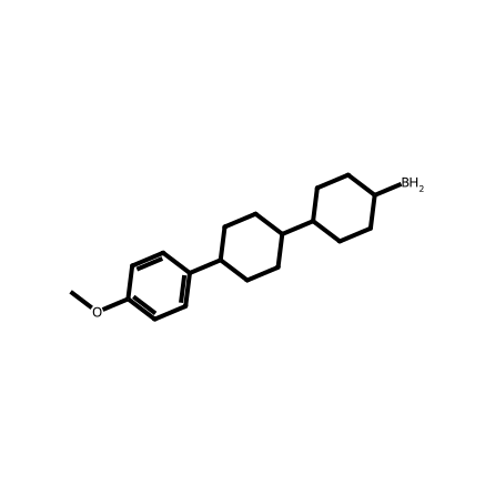 BC1CCC(C2CCC(c3ccc(OC)cc3)CC2)CC1